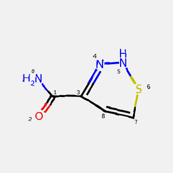 NC(=O)C1=NNSC=C1